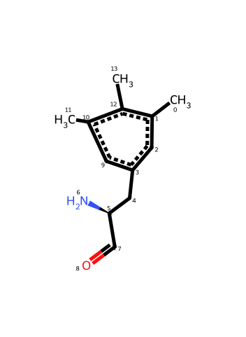 Cc1cc(C[C@H](N)[C]=O)cc(C)c1C